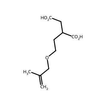 C=C(C)COCCC(CC(=O)O)C(=O)O